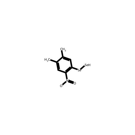 Cc1cc([Se][SeH])c([N+](=O)[O-])cc1C